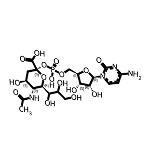 CC(=O)N[C@@H]1[C@@H](O)C[C@@](OP(=O)(O)OC[C@H]2O[C@@H](n3ccc(N)nc3=O)[C@H](O)[C@@H]2O)(C(=O)O)O[C@H]1C(O)C(O)CO